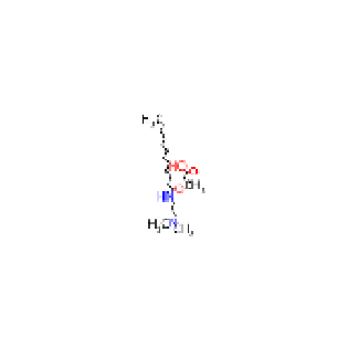 CCC(=O)O.CCCCCCCCCCCC(=O)NCCCN(C)C